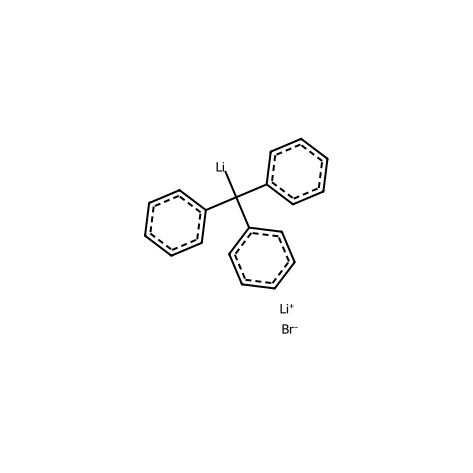 [Br-].[Li+].[Li][C](c1ccccc1)(c1ccccc1)c1ccccc1